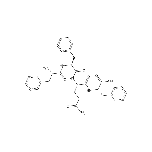 NC(=O)CC[C@H](NC(=O)[C@H](Cc1ccccc1)NC(=O)[C@@H](N)Cc1ccccc1)C(=O)N[C@@H](Cc1ccccc1)C(=O)O